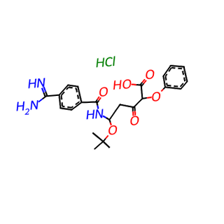 CC(C)(C)OC(CC(=O)C(Oc1ccccc1)C(=O)O)NC(=O)c1ccc(C(=N)N)cc1.Cl